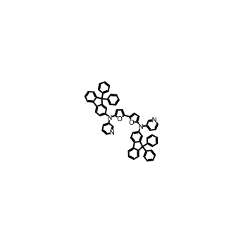 c1ccc(C2(c3ccccc3)c3ccccc3-c3ccc(N(c4cccnc4)c4ccc(-c5ccc(N(c6cccnc6)c6ccc7c(c6)C(c6ccccc6)(c6ccccc6)c6ccccc6-7)o5)o4)cc32)cc1